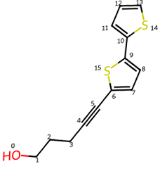 OCCCC#Cc1ccc(-c2cccs2)s1